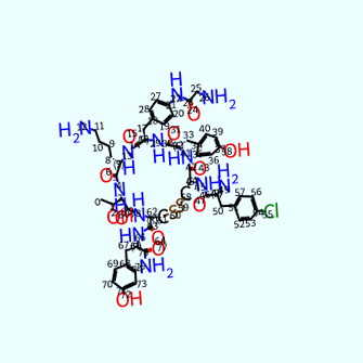 CC(O)C1NC(=O)[C@H](CCCCN)NC(=O)[C@@H](Cc2ccc(NC(=O)CN)cc2)NC(=O)[C@H](Cc2ccc(O)cc2)NC(=O)[C@H](NC(=O)[C@@H](N)Cc2ccc(Cl)cc2)CSSC[C@@H](C(=O)N[C@H](Cc2ccc(O)cc2)C(N)=O)NC1=O